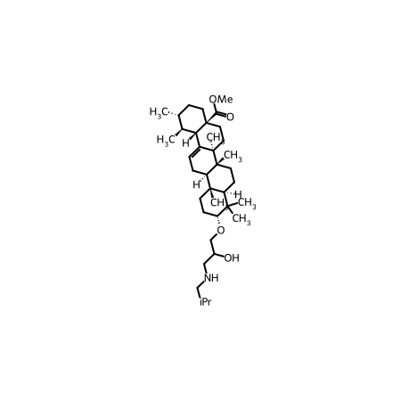 COC(=O)[C@]12CC[C@@H](C)[C@H](C)[C@H]1C1=CC[C@@H]3[C@@]4(C)CC[C@@H](OCC(O)CNCC(C)C)C(C)(C)[C@@H]4CC[C@@]3(C)[C@]1(C)CC2